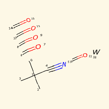 CC(C)(C)C#N.[C]=O.[C]=O.[C]=O.[C]=O.[C]=O.[W]